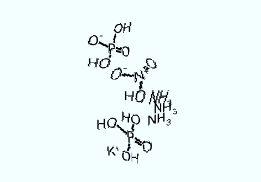 N.N.N.O=P(O)(O)O.O=P([O-])(O)O.O=[N+]([O-])O.[K+]